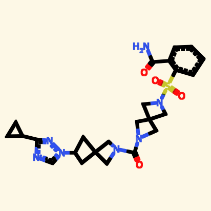 NC(=O)c1ccccc1S(=O)(=O)N1CC2(CN(C(=O)N3CC4(CC(n5cnc(C6CC6)n5)C4)C3)C2)C1